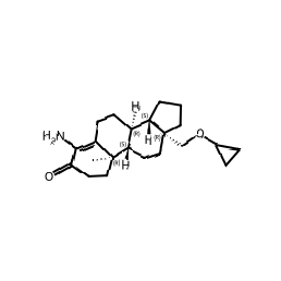 C[C@]12CCC(=O)C(N)=C1CC[C@H]1[C@@H]3CCC[C@@]3(COC3CC3)CC[C@@H]12